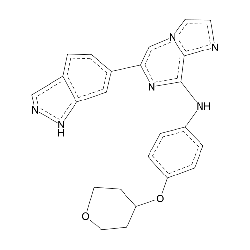 c1cn2cc(-c3ccc4cn[nH]c4c3)nc(Nc3ccc(OC4CCOCC4)cc3)c2n1